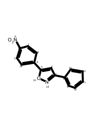 O=[N+]([O-])c1ccc(-c2cc(-c3ccccc3)no2)cc1